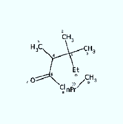 CCC(C)(C)C(C)C(=O)Cl.CCCC